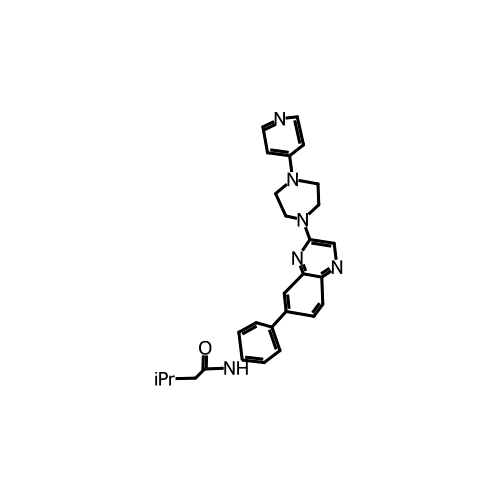 CC(C)CC(=O)Nc1ccc(-c2ccc3ncc(N4CCN(c5ccncc5)CC4)nc3c2)cc1